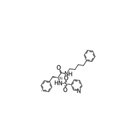 O=C(NCCCCc1ccccc1)[C@H](Cc1cc[c]cc1)NS(=O)(=O)c1cccnc1